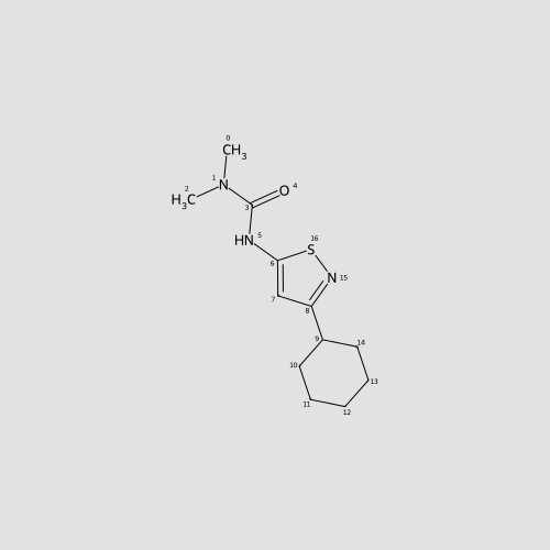 CN(C)C(=O)Nc1cc(C2CCCCC2)ns1